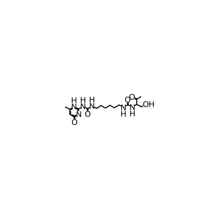 CC(=O)C(CO)NC(=O)NCCCCCCNC(=O)Nc1nc(=O)cc(C)[nH]1